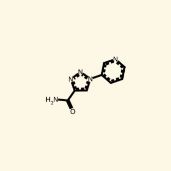 NC(=O)c1cn(-c2cccnc2)nn1